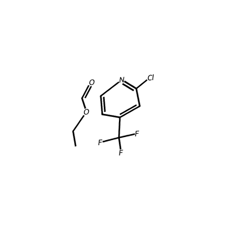 CCOC=O.FC(F)(F)c1ccnc(Cl)c1